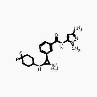 Cc1cc(NC(=O)c2cccc(C3CC3NC3CCC(F)(F)CC3)c2)n(C)n1.Cl.Cl